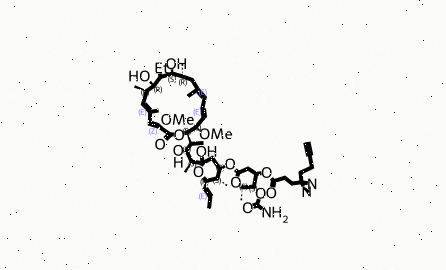 C#CCCC1(CCC(=O)OC2CC(O[C@@H]3CC(O)([C@@H](C)[C@H](O)C(C)[C@H]4OC(=O)/C(OC)=C/C(C)=C/[C@@H](C)[C@@H](O)C(CC)[C@@H](O)[C@H](C)C/C(C)=C/C=C/[C@@H]4OC)O[C@H](/C=C/C)[C@H]3C)O[C@@H](C)[C@@H]2OC(N)=O)N=N1